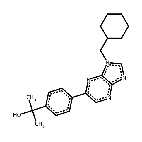 CC(C)(O)c1ccc(-c2cnc3ncn(CC4CCCCC4)c3n2)cc1